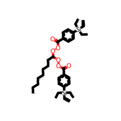 [CH2]CCCCCCC[C](OOC(=O)c1ccc([Si](C=C)(CC)CC)cc1)OOC(=O)c1ccc([Si](C=C)(CC)CC)cc1